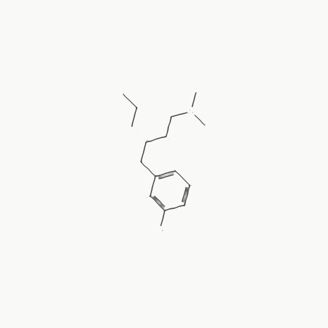 CCC[C@H](CCN(C)C)Cc1cccc(O)c1